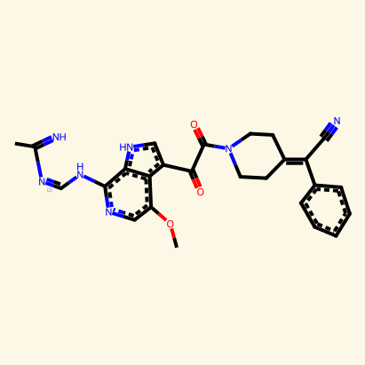 COc1cnc(N/C=N\C(C)=N)c2[nH]cc(C(=O)C(=O)N3CCC(=C(C#N)c4ccccc4)CC3)c12